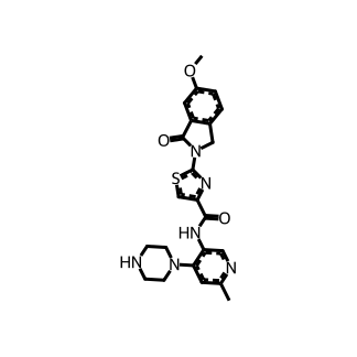 COc1ccc2c(c1)C(=O)N(c1nc(C(=O)Nc3cnc(C)cc3N3CCNCC3)cs1)C2